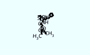 CCCN(CCC)S(=O)(=O)CCC(=O)N[C@@H](Cc1cccs1)[C@@H](O)CNCc1ccccc1